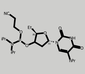 CCCc1cn([C@@H]2CC(OP(OCCC#N)N(C(C)C)C(C)C)[C@@H](CC)O2)c(=O)[nH]c1=O